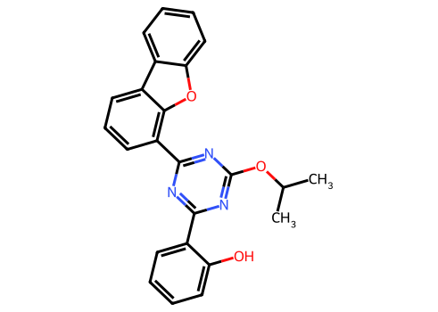 CC(C)Oc1nc(-c2ccccc2O)nc(-c2cccc3c2oc2ccccc23)n1